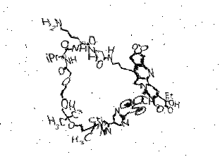 CC[C@@]1(O)C(=O)OCc2c1cc1n(c2=O)Cc2c-1nc1cc3c(cc1c2CCCNC(=O)CNC(=O)[C@H](CCCCN)NC(=O)[C@@H](NC(=O)COCCOCC(C)(C)OCCC(C)(C)n1cc(-c2cnc(S(C)(=O)=O)nc2)nn1)C(C)C)OCO3